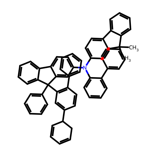 CC1(C)c2ccccc2-c2ccc(N(c3ccc4c(c3)C(c3ccccc3)(c3cc(C5C=CC=CC5)ccc3-c3ccccc3)c3ccccc3-4)c3ccccc3-c3ccccc3)cc21